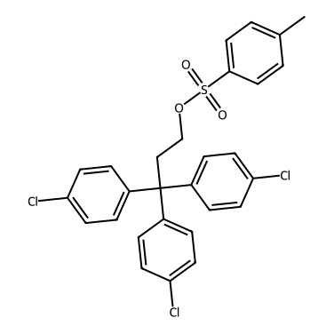 Cc1ccc(S(=O)(=O)OCCC(c2ccc(Cl)cc2)(c2ccc(Cl)cc2)c2ccc(Cl)cc2)cc1